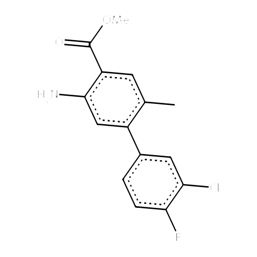 COC(=O)c1cc(C)c(-c2ccc(F)c(Cl)c2)cc1N